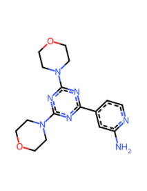 Nc1cc(-c2nc(N3CCOCC3)nc(N3CCOCC3)n2)ccn1